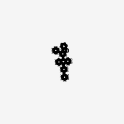 C1=CC2Oc3cc(-c4c5ccccc5c(-c5ccc(-c6ccccc6)cc5)c5ccccc45)cc(-c4ccccc4)c3C2C=C1